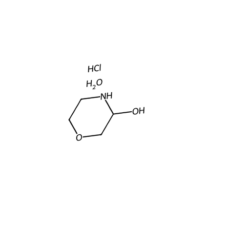 Cl.O.OC1COCCN1